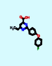 C=Cc1cc(C(=O)O)nc(-c2ccc(Oc3ccc(F)cc3)cc2)n1